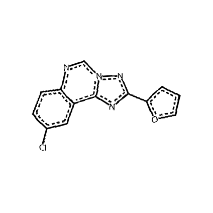 Clc1ccc2ncn3nc(-c4ccco4)nc3c2c1